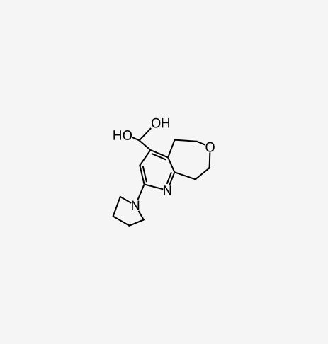 OC(O)c1cc(N2CCCC2)nc2c1CCOCC2